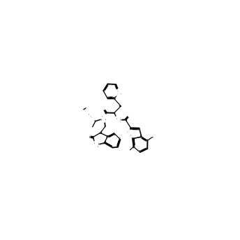 C#[N+][C@@H]1C[C@@]2(CN1C(=O)C(Cc1ccccn1)NC(=O)c1cc3c(F)ccc(F)c3[nH]1)C(=O)Nc1ccccc12